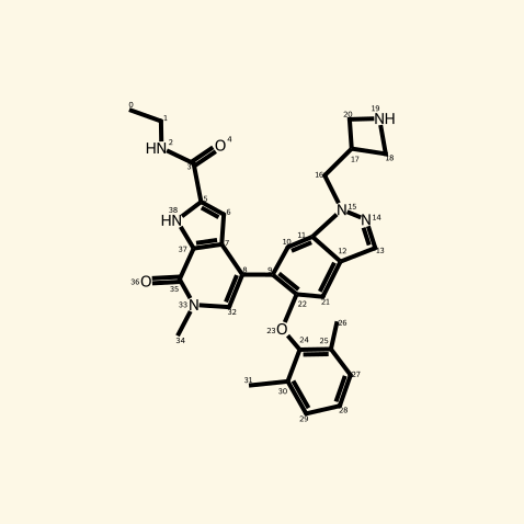 CCNC(=O)c1cc2c(-c3cc4c(cnn4CC4CNC4)cc3Oc3c(C)cccc3C)cn(C)c(=O)c2[nH]1